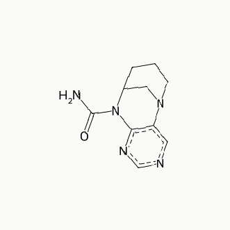 NC(=O)N1c2ncncc2N2CCCC1C2